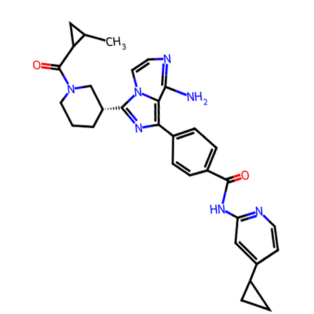 CC1CC1C(=O)N1CCC[C@@H](c2nc(-c3ccc(C(=O)Nc4cc(C5CC5)ccn4)cc3)c3c(N)nccn23)C1